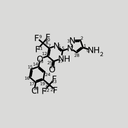 Nc1cnn(-c2nc(C(F)(F)F)c(Oc3ccc(Cl)c(C(F)(F)F)c3)c(=O)[nH]2)c1